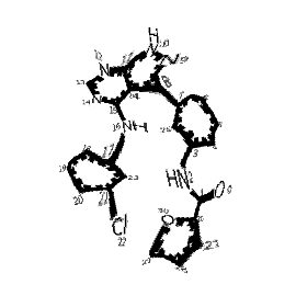 O=C(Nc1cccc(-c2n[nH]c3ncnc(Nc4cccc(Cl)c4)c23)c1)c1ccco1